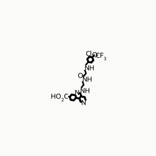 O=C(CCNCc1ccc(OC(F)(F)F)c(Cl)c1)NCCCNc1nc2cc(C(=O)O)ccc2c2cnccc12